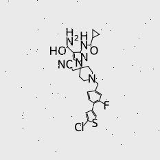 N#CCC1(n2cc(C(N)O)c(NC(=O)C3CC3)n2)CCN(Cc2ccc(-c3csc(Cl)c3)c(F)c2)CC1